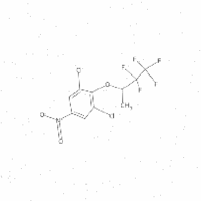 CC(Oc1c(Cl)cc([N+](=O)[O-])cc1Cl)C(F)(F)C(F)(F)F